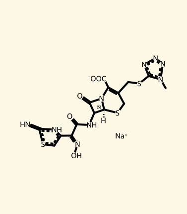 Cn1nnnc1SCC1=C(C(=O)[O-])N2C(=O)C(NC(=O)C(=NO)c3csc(=N)[nH]3)[C@@H]2SC1.[Na+]